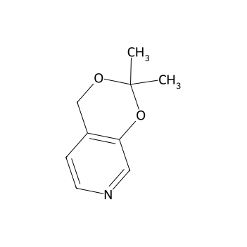 CC1(C)OCc2ccncc2O1